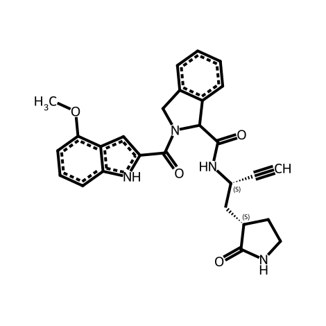 C#C[C@H](C[C@@H]1CCNC1=O)NC(=O)C1c2ccccc2CN1C(=O)c1cc2c(OC)cccc2[nH]1